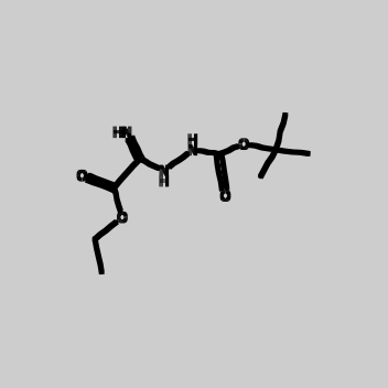 CCOC(=O)C(=N)NNC(=O)OC(C)(C)C